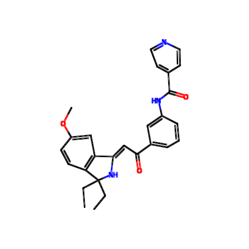 CCC1(CC)N/C(=C\C(=O)c2cccc(NC(=O)c3ccncc3)c2)c2cc(OC)ccc21